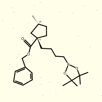 C[C@@H]1CC[C@](CCCCB2OC(C)(C)C(C)(C)O2)(C(=O)OCc2ccccc2)C1